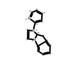 C1=CN2c3ccccc3CC2N1c1ccccn1